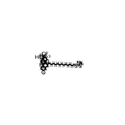 C[C@]12CCC(=O)C=C1CC(CCCCCCCCCCCCCSc1nccs1)[C@@H]1[C@H]2CC[C@@]2(C)[C@H]1CCC2(O)C(F)(F)C(F)(F)F